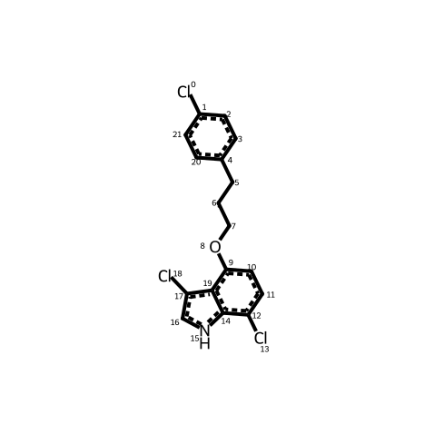 Clc1ccc(C[CH]COc2ccc(Cl)c3[nH]cc(Cl)c23)cc1